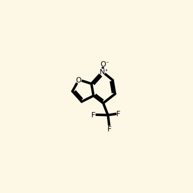 [O-][n+]1ccc(C(F)(F)F)c2ccoc21